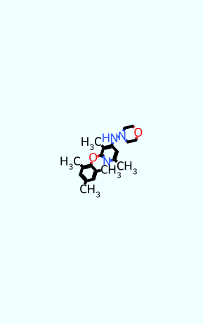 Cc1cc(C)c(Oc2nc(C)cc(NN3CCOCC3)c2C)c(C)c1